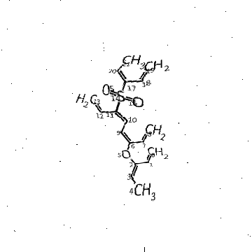 C=C/C(=C\C)O/C(C=C)=C/C=C(\C=C)S(=O)(=O)/C(C=C)=C/C